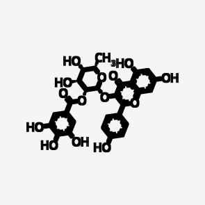 C[C@@H]1O[C@@H](Oc2c(-c3ccc(O)cc3)oc3cc(O)cc(O)c3c2=O)[C@H](OC(=O)c2cc(O)c(O)c(O)c2)[C@H](O)[C@H]1O